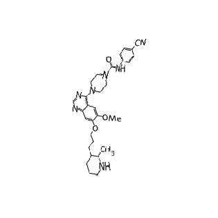 COc1cc2c(N3CCN(C(=O)Nc4ccc(C#N)cc4)CC3)ncnc2cc1OCCCC1CCCNC1C